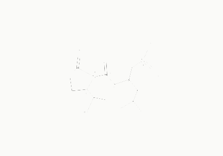 CC(C)CC(CC(=O)N1C(=O)OCC1C(C)C)C[N+](=O)[O-]